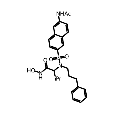 CC(=O)Nc1ccc2cc(S(=O)(=O)N(CCCc3ccccc3)C(C(=O)NO)C(C)C)ccc2c1